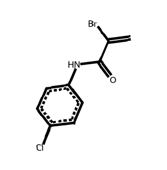 C=C(Br)C(=O)Nc1ccc(Cl)cc1